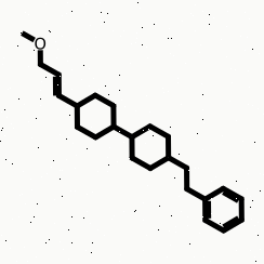 COC/C=C/C1CCC(C2CCC(CCc3ccccc3)CC2)CC1